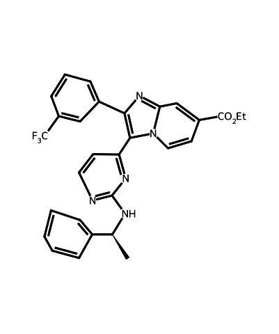 CCOC(=O)c1ccn2c(-c3ccnc(N[C@@H](C)c4ccccc4)n3)c(-c3cccc(C(F)(F)F)c3)nc2c1